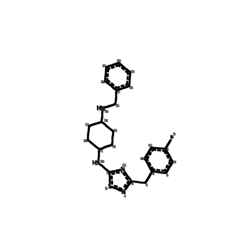 Fc1ccc(Cc2nsc(NC3CCC(NCc4ccccc4)CC3)n2)cc1